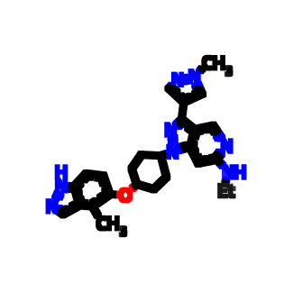 CCNc1cc2c(cn1)c(-c1cnn(C)c1)nn2C1CCC(Oc2ccc3[nH]ncc3c2C)CC1